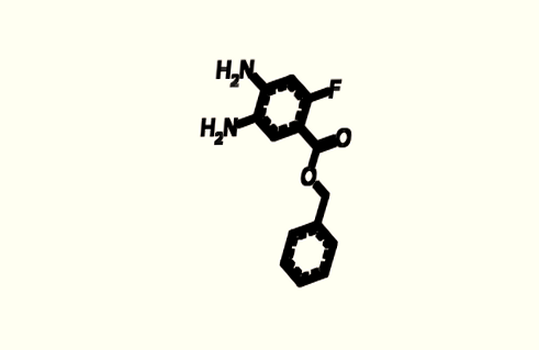 Nc1cc(F)c(C(=O)OCc2ccccc2)cc1N